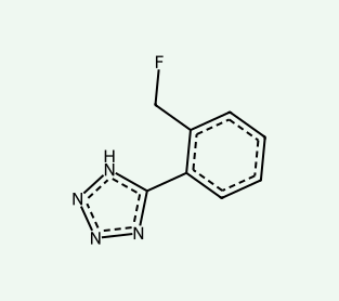 FCc1ccccc1-c1nnn[nH]1